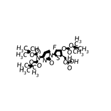 CC(C)(C)OC(=O)O[C@H]1[C@H](F)[C@H](n2ccc(N(C(=O)OC(C)(C)C)C(=O)OC(C)(C)C)nc2=O)S[C@@H]1CO[PH](=O)O